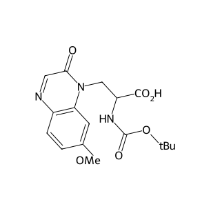 COc1ccc2ncc(=O)n(CC(NC(=O)OC(C)(C)C)C(=O)O)c2c1